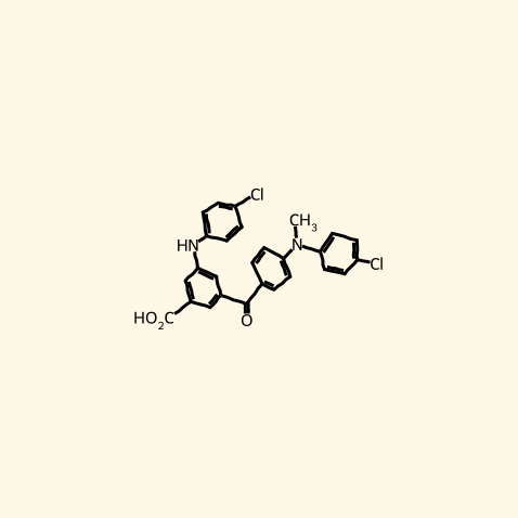 CN(c1ccc(Cl)cc1)c1ccc(C(=O)c2cc(Nc3ccc(Cl)cc3)cc(C(=O)O)c2)cc1